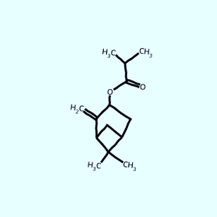 C=C1C(OC(=O)C(C)C)CC2CC1C2(C)C